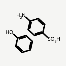 Nc1ccc(S(=O)(=O)O)cc1.Oc1ccccc1